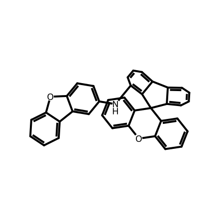 c1ccc2c(c1)Oc1ccccc1C21c2ccccc2-c2cccc(Nc3ccc4oc5ccccc5c4c3)c21